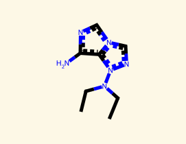 CCN(CC)n1ncn2cnc(N)c12